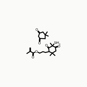 C=C(C)C(=O)OCCCC1C(=O)C(C)([SiH3])C(=O)CC1(C)C.CC1(C)CC(=O)CC(=O)C1